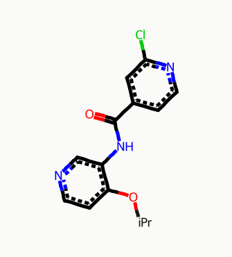 CC(C)Oc1ccncc1NC(=O)c1ccnc(Cl)c1